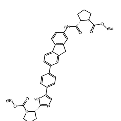 CC(C)(C)OC(=O)N1CCC[C@H]1C(=O)Nc1ccc2c(c1)Cc1cc(-c3ccc(-c4cnc([C@@H]5CCCN5C(=O)OC(C)(C)C)[nH]4)cc3)ccc1-2